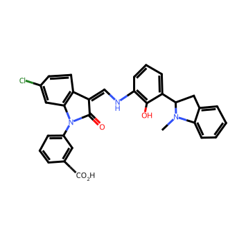 CN1c2ccccc2CC1c1cccc(N/C=C2\C(=O)N(c3cccc(C(=O)O)c3)c3cc(Cl)ccc32)c1O